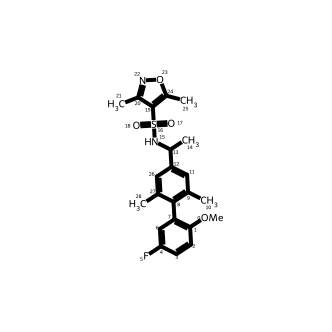 COc1ccc(F)cc1-c1c(C)cc(C(C)NS(=O)(=O)c2c(C)noc2C)cc1C